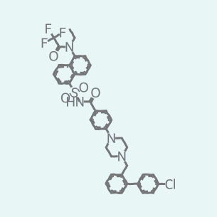 CCN(C(=O)C(F)(F)F)c1cccc2c(S(=O)(=O)NC(=O)c3ccc(N4CCN(Cc5ccccc5-c5ccc(Cl)cc5)CC4)cc3)cccc12